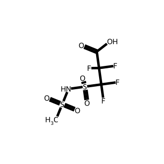 CS(=O)(=O)NS(=O)(=O)C(F)(F)C(F)(F)C(=O)O